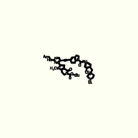 CCN1CCN(Cc2ccc(NC(=O)N3CCc4cc(C#Cc5cnc(NCC(C)=O)nc5-c5cc6c(n5C)CCN(C(=O)OC(C)(C)C)C6=O)ccc43)cc2C(F)(F)F)CC1